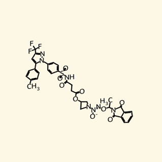 Cc1ccc(-c2cc(C(F)(F)F)nn2-c2ccc(S(=O)(=O)NC(=O)CCC(=O)OC3CN(/[N+]([O-])=N/OC(C)N4C(=O)c5ccccc5C4=O)C3)cc2)cc1